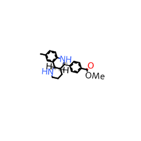 COC(=O)c1ccc([C@@H]2Nc3ccc(C)cc3[C@@H]3NCCC[C@H]23)cc1